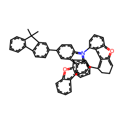 CC1(C)c2ccccc2-c2ccc(-c3ccc4c(c3)c3ccccc3n4-c3cccc4oc5c(c34)=C(c3ccc4oc6ccccc6c4c3)CCC=5)cc21